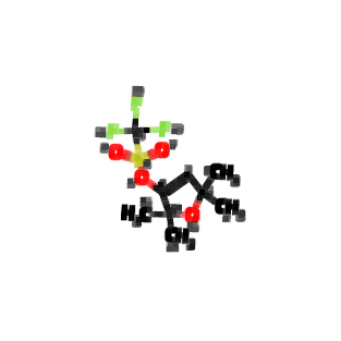 CC1(C)C=C(OS(=O)(=O)C(F)(F)F)C(C)(C)O1